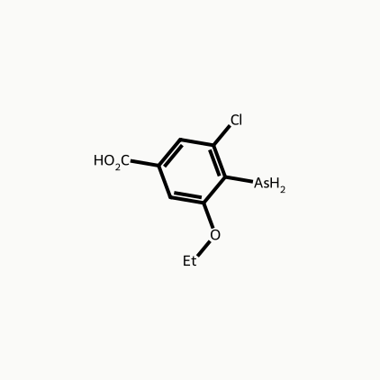 CCOc1cc(C(=O)O)cc(Cl)c1[AsH2]